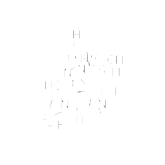 CCOc1nc2c(C(O)c3ccc(C(F)(F)F)cn3)cc(-c3c(C)noc3C)cc2n1C(=O)OC(C)(C)C